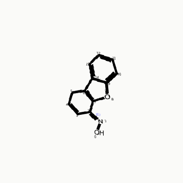 O/N=C1\C=CCc2c1oc1ccccc21